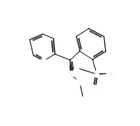 CO/N=C(/c1ccccn1)c1ccccc1P(=O)(O)S